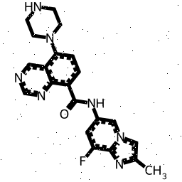 Cc1cn2cc(NC(=O)c3ccc(N4CCNCC4)c4cncnc34)cc(F)c2n1